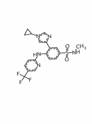 CNS(=O)(=O)c1ccc(Nc2ccc(C(F)(F)F)cn2)c(-c2cn(C3CC3)cn2)c1